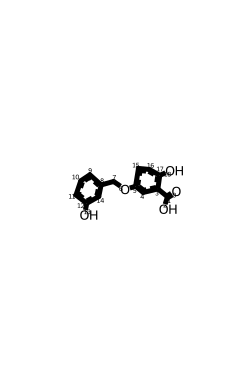 O=C(O)c1cc(OCc2cccc(O)c2)ccc1O